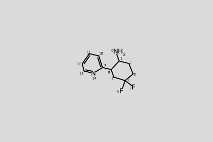 NC1CCC(F)(F)CC1c1ccccn1